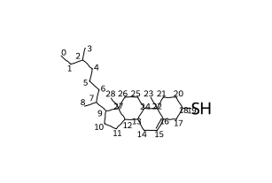 CCC(C)CCCC(C)C1CCC2C3CC=C4CC(S)CCC4(C)C3CCC12C